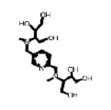 CN(Cc1ccc(CN(C)C(CO)C(O)CO)nc1)C(CO)C(O)CO